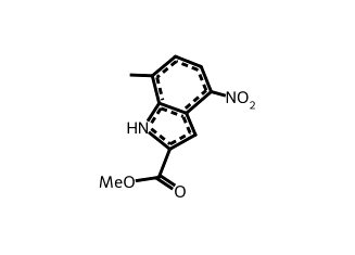 COC(=O)c1cc2c([N+](=O)[O-])ccc(C)c2[nH]1